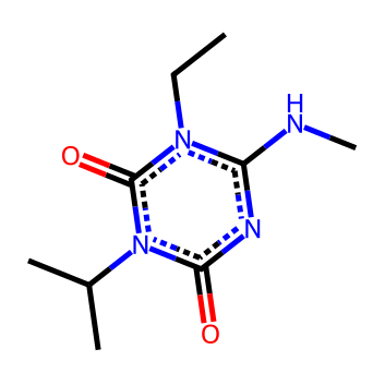 CCn1c(NC)nc(=O)n(C(C)C)c1=O